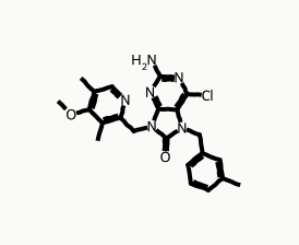 COc1c(C)cnc(Cn2c(=O)n(Cc3cccc(C)c3)c3c(Cl)nc(N)nc32)c1C